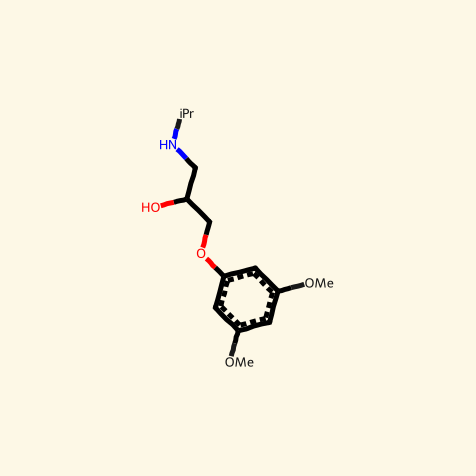 COc1cc(OC)cc(OCC(O)CNC(C)C)c1